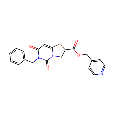 O=C(OCc1ccncc1)C1Cn2c(cc(=O)n(Cc3ccccc3)c2=O)S1